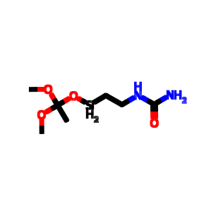 COC(C)(OC)O[SiH2]CCNC(N)=O